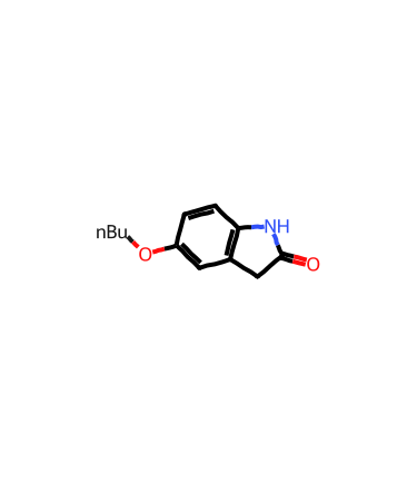 CCCCOc1ccc2c(c1)CC(=O)N2